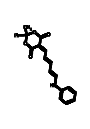 CC(C)C1(C)OC(=O)C(=C/C=C/C=C/Nc2ccccc2)C(=O)O1